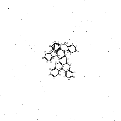 c1ccc2c(c1)Oc1ccccc1B2c1cc2c3c(c1-n1c4ccccc4c4ccccc41)Oc1ccccc1B3c1ccccc1O2